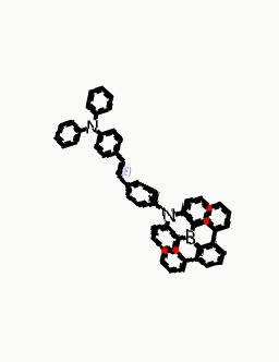 C(=C\c1ccc(N2c3ccccc3B(c3c(-c4ccccc4)cccc3-c3ccccc3)c3ccccc32)cc1)/c1ccc(N(c2ccccc2)c2ccccc2)cc1